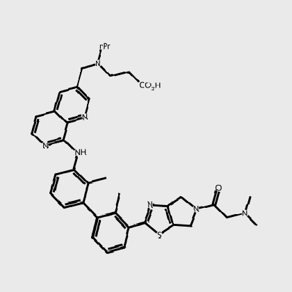 CCCN(CCC(=O)O)Cc1cnc2c(Nc3cccc(-c4cccc(-c5nc6c(s5)CN(C(=O)CN(C)C)C6)c4C)c3C)nccc2c1